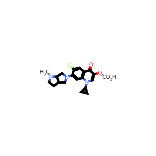 CN1CCC2CN(c3cc4c(cc3F)c(=O)c(OC(=O)O)cn4C3CC3)CC21